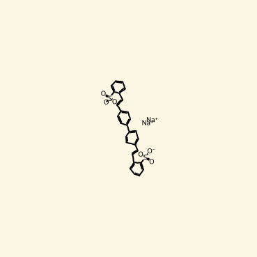 O=S(=O)([O-])c1ccccc1C=Cc1ccc(-c2ccc(C=Cc3ccccc3S(=O)(=O)[O-])cc2)cc1.[Na+].[Na+]